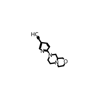 C#Cc1ccc(N2CCN3CCOCC3C2)nc1